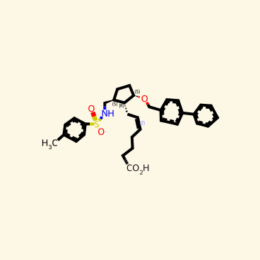 Cc1ccc(S(=O)(=O)NC[C@H]2CC[C@H](OCc3ccc(-c4ccccc4)cc3)[C@@H]2C/C=C\CCCC(=O)O)cc1